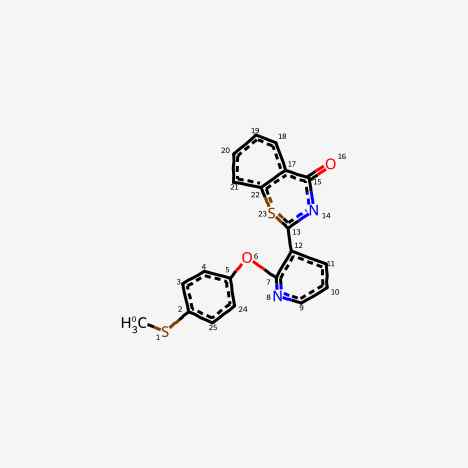 CSc1ccc(Oc2ncccc2-c2nc(=O)c3ccccc3s2)cc1